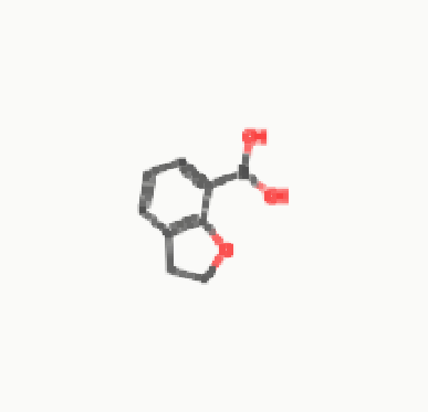 OB(O)c1cccc2c1OCC2